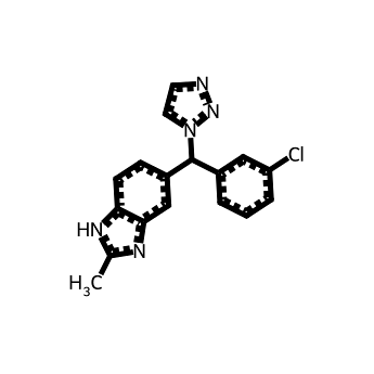 Cc1nc2cc(C(c3cccc(Cl)c3)n3ccnn3)ccc2[nH]1